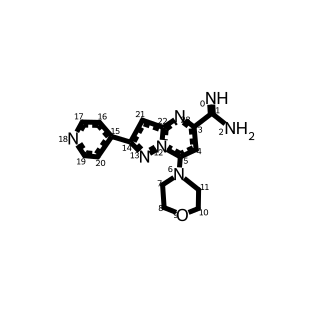 N=C(N)c1cc(N2CCOCC2)n2nc(-c3ccncc3)cc2n1